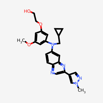 COc1cc(OCCO)cc(N(CC2CC2)c2ccc3ncc(-c4cnn(C)c4)nc3c2)c1